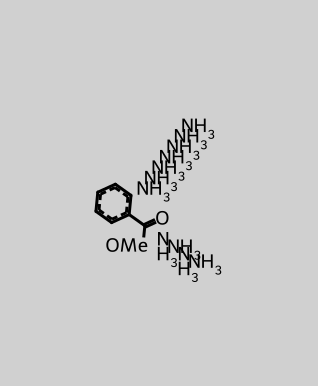 COC(=O)c1ccccc1.N.N.N.N.N.N.N.N.N.N.N